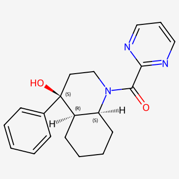 O=C(c1ncccn1)N1CC[C@@](O)(c2ccccc2)[C@@H]2CCCC[C@@H]21